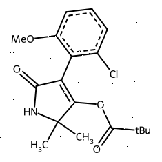 COc1cccc(Cl)c1C1=C(OC(=O)C(C)(C)C)C(C)(C)NC1=O